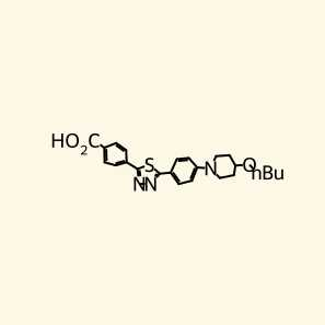 CCCCOC1CCN(c2ccc(-c3nnc(-c4ccc(C(=O)O)cc4)s3)cc2)CC1